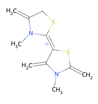 C=C1S/C(=C2\SCC(=C)N2C)C(=C)N1C